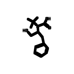 CC(C)(C)N(C(=O)O)C(CO)Cc1ccccc1